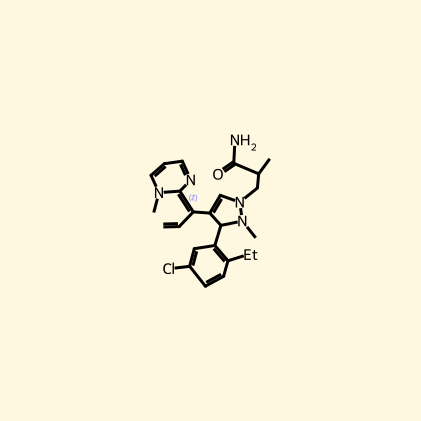 C=C/C(C1=CN(CC(C)C(N)=O)N(C)C1c1cc(Cl)ccc1CC)=C1/N=CC=CN1C